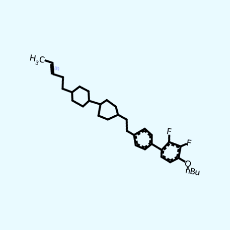 C/C=C/CCC1CCC(C2CCC(CCc3ccc(-c4ccc(OCCCC)c(F)c4F)cc3)CC2)CC1